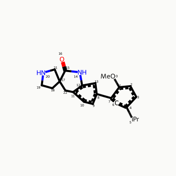 COc1ccc(C(C)C)cc1-c1ccc2c(c1)NC(=O)C1(CCNC1)C2